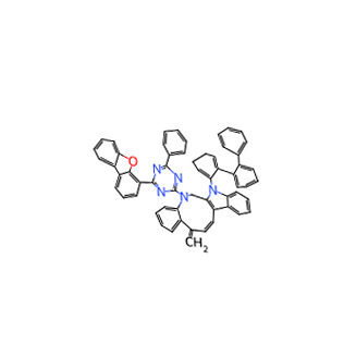 C=C1/C=C\c2c(n(C3=CCCC=C3c3ccccc3-c3ccccc3)c3ccccc23)CN(c2nc(-c3ccccc3)nc(-c3cccc4c3oc3ccccc34)n2)c2ccccc21